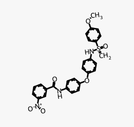 C=S(=O)(Nc1ccc(Oc2ccc(NC(=O)c3cccc([N+](=O)[O-])c3)cc2)cc1)c1ccc(OC)cc1